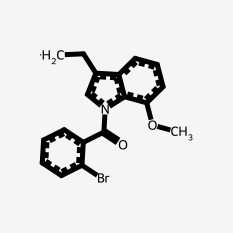 [CH2]Cc1cn(C(=O)c2ccccc2Br)c2c(OC)cccc12